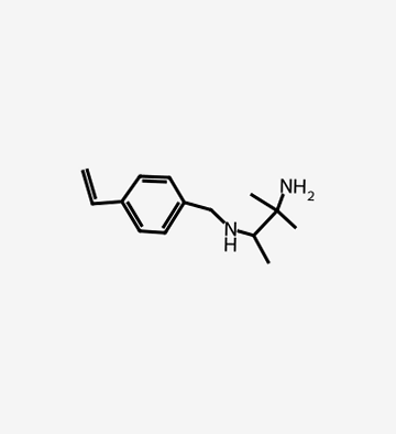 C=Cc1ccc(CNC(C)C(C)(C)N)cc1